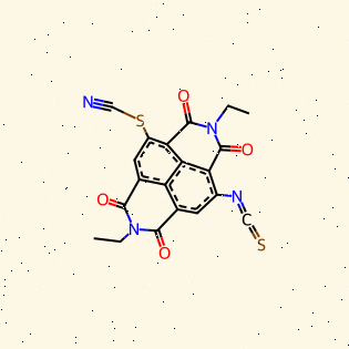 CCN1C(=O)c2cc(N=C=S)c3c4c(c(SC#N)cc(c24)C1=O)C(=O)N(CC)C3=O